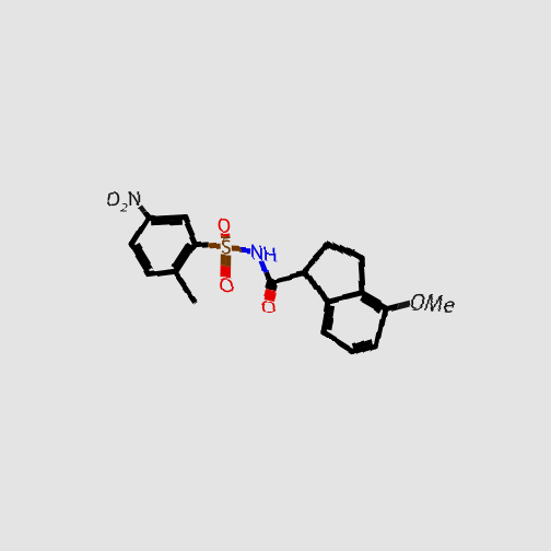 COc1cccc2c1CCC2C(=O)NS(=O)(=O)c1cc([N+](=O)[O-])ccc1C